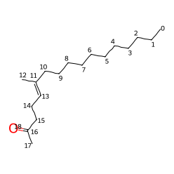 CCCCCCCCCCCC(C)=CCCC(C)=O